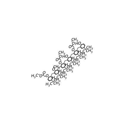 CCOC(=O)COc1ccc(C(C)(C)C)cc1Cc1cc(C(C)(C)C)cc(Cc2cc(C(C)(C)C)cc(Cc3cc(C(C)(C)C)cc(Cc4cc(C(C)(C)C)cc(Cc5cc(C(C)(C)C)ccc5O)c4OCC(=O)OCC)c3O)c2OCC(=O)OCC)c1OC